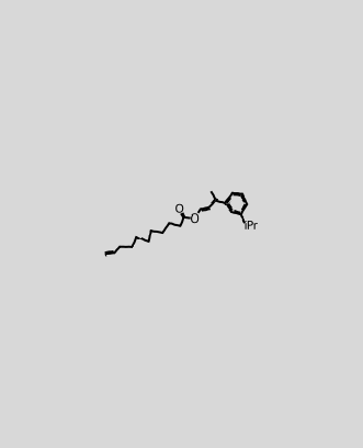 C=CCCCCCCCCC(=O)OC=CC(C)c1cccc(C(C)C)c1